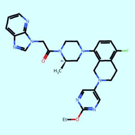 CCOc1ncc(N2CCc3c(F)ccc(N4CCN(C(=O)Cn5cnc6cccnc65)[C@H](C)C4)c3C2)cn1